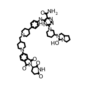 NC(=O)c1nnc(N2CCCC(N3CC4CCCN4C3O)C2)nc1Nc1ccc(C2CCN(CC3CCN(c4ccc5c(c4)C(=O)N(C4CCC(=O)NC4=O)C5=O)CC3)CC2)cc1